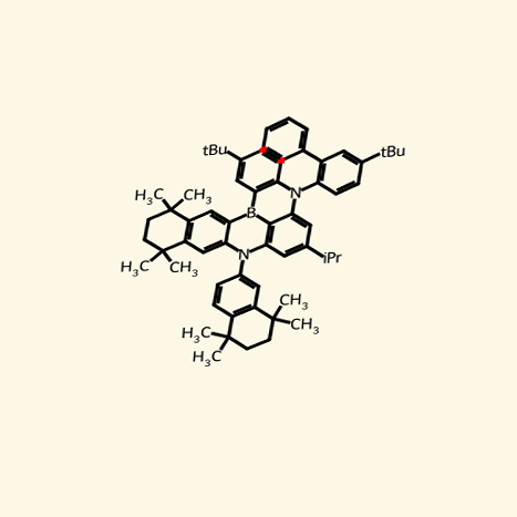 CC(C)c1cc2c3c(c1)N(c1ccc(C(C)(C)C)cc1-c1ccccc1)c1ccc(C(C)(C)C)cc1B3c1cc3c(cc1N2c1ccc2c(c1)C(C)(C)CCC2(C)C)C(C)(C)CCC3(C)C